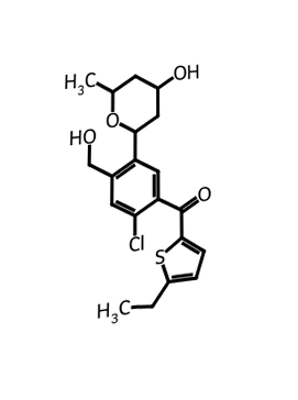 CCc1ccc(C(=O)c2cc(C3CC(O)CC(C)O3)c(CO)cc2Cl)s1